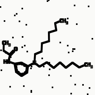 CCCCCCCCN(CCCCCCCC)c1cccc(NC(=O)CC)c1